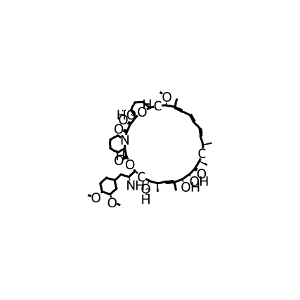 CO[C@H]1C[C@@H]2CC[C@@H](C)[C@@](O)(O2)C(=O)C(=O)N2CCCC[C@H]2C(=O)O[C@H]([C@H](N)CC2CC[C@@H](OC)[C@H](OC)C2)C[C@@H](O)[C@H](C)/C=C(\C)[C@@H](O)[C@@H](O)C(=O)[C@H](C)C[C@H](C)/C=C/C=C/C=C/1C